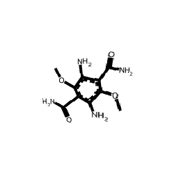 COc1c(N)c(C(N)=O)c(OC)c(N)c1C(N)=O